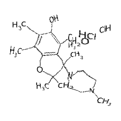 Cc1c(C)c2c(c(C)c1O)C(C)(N1CCN(C)CC1)C(C)(C)O2.Cl.Cl.O